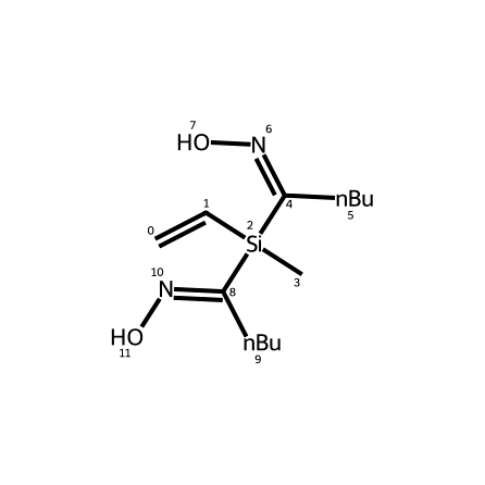 C=C[Si](C)(C(CCCC)=NO)C(CCCC)=NO